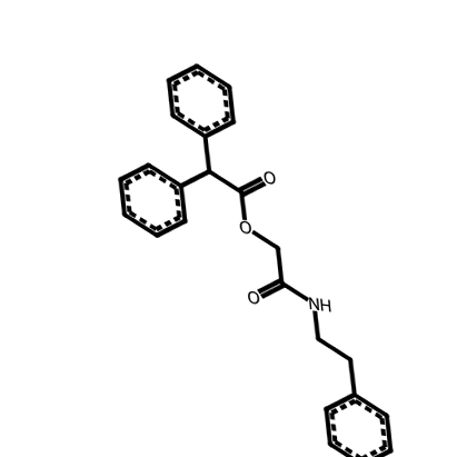 O=C(COC(=O)C(c1ccccc1)c1ccccc1)NCCc1ccccc1